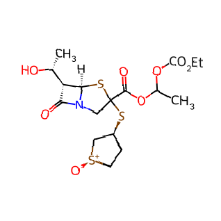 CCOC(=O)OC(C)OC(=O)C1(S[C@H]2CC[S@@+]([O-])C2)CN2C(=O)[C@H]([C@@H](C)O)[C@H]2S1